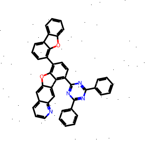 c1ccc(-c2nc(-c3ccccc3)nc(-c3ccc(-c4cccc5c4oc4ccccc45)c4oc5cc6cccnc6cc5c34)n2)cc1